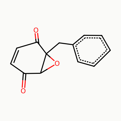 O=C1C=CC(=O)C2(Cc3ccccc3)OC12